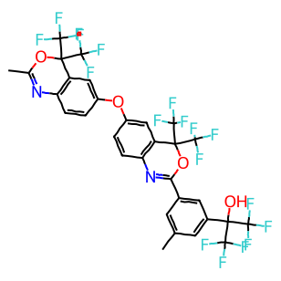 CC1=Nc2ccc(Oc3ccc4c(c3)C(C(F)(F)F)(C(F)(F)F)OC(c3cc(C)cc(C(O)(C(F)(F)F)C(F)(F)F)c3)=N4)cc2C(C(F)(F)F)(C(F)(F)F)O1